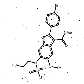 CNC(=O)c1c(-c2ccc(Br)cc2)oc2cc(N(CCO)S(C)(=O)=O)c(OC(C)C)cc12